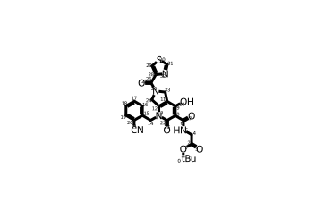 CC(C)(C)OC(=O)CNC(=O)c1c(O)c2c(n(Cc3ccccc3C#N)c1=O)CN(C(=O)c1cscn1)C2